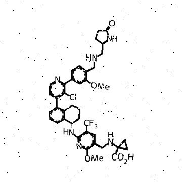 COc1cc(-c2nccc(-c3cccc4c3CCC[C@@H]4Nc3nc(OC)c(CNC4(C(=O)O)CC4)cc3C(F)(F)F)c2Cl)ccc1CNCC1CCC(=O)N1